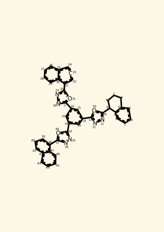 c1ccc2c(c1)CCCC2c1nnc(-c2cc(-c3nnc(-c4cccc5ccccc45)o3)cc(-c3nnc(-c4cccc5ccccc45)o3)c2)o1